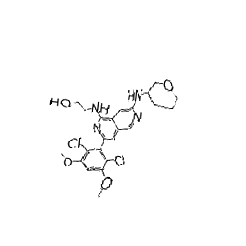 COc1cc(OC)c(Cl)c(-c2cc3cnc(NC4CCCOC4)cc3c(NCCO)n2)c1Cl